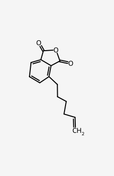 C=CCCCCc1cccc2c1C(=O)OC2=O